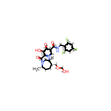 C[C@H]1CC[C@@H](COCO)[C@H]2CN1C(=O)c1c(O)c(=O)c(C(=O)NCc3c(F)cc(F)cc3F)cn12